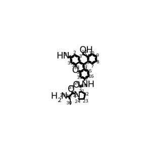 N=c1ccc2c(-c3ccccc3CO)c3ccc(NC(=O)[C@@H]4CCCN4C(=O)C(N)I)cc3oc-2c1